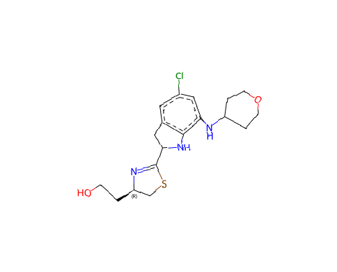 OCC[C@@H]1CSC(C2Cc3cc(Cl)cc(NC4CCOCC4)c3N2)=N1